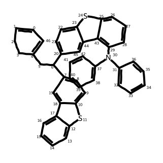 C1=CCCC(CC(c2ccc3sc4ccccc4c3c2)c2ccc3sc4cccc(N(c5ccccc5)c5ccccc5)c4c3c2)=C1